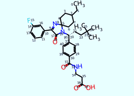 CCC1CCC2(CC1)N=C(c1cccc(F)c1)C(=O)N2[C@H](CCC(C)(C)C)c1ccc(C(=O)NCCC(=O)O)cc1